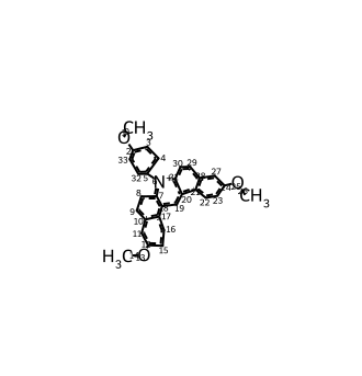 COc1ccc(-[n+]2c3ccc4cc(OC)ccc4c3cc3c4ccc(OC)cc4ccc32)cc1